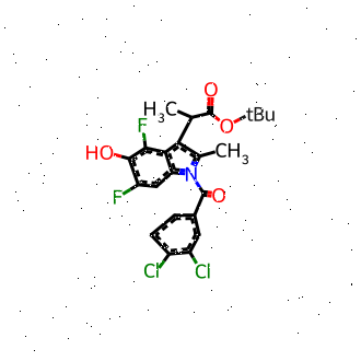 Cc1c(C(C)C(=O)OC(C)(C)C)c2c(F)c(O)c(F)cc2n1C(=O)c1ccc(Cl)c(Cl)c1